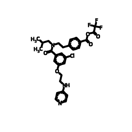 CC(C)CN(CCc1ccc(C(=O)OC(=O)C(F)(F)F)cc1)C(=O)c1cc(Cl)cc(OCCNc2ccncc2)c1